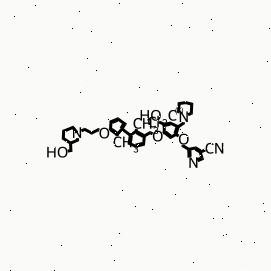 Cc1c(COc2cc(OCc3cncc(C#N)c3)c(CN3CCCC[C@H]3C(=O)O)cc2Cl)cccc1-c1cccc(OCCCN2CCCC(CO)C2)c1C